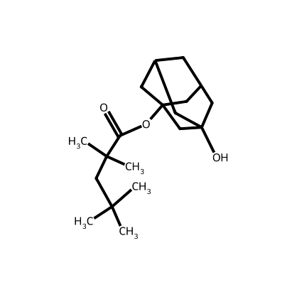 CC(C)(C)CC(C)(C)C(=O)OC12CC3CC(CC(O)(C3)C1)C2